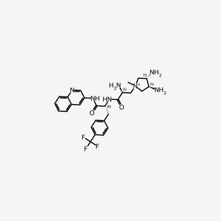 C[N+]1(C[C@H](N)C(=O)N[C@H](Cc2ccc(C(F)(F)F)cc2)C(=O)Nc2cnc3ccccc3c2)C[C@H](N)[C@@H](N)C1